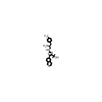 CC(C)(O)c1nc(NC[C@@H](N)Cc2ccc(C(F)(F)F)cc2)sc1-c1ccc2cnccc2c1